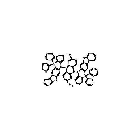 Cc1ccc2c(N3c4ccccc4[Si](c4cccnc4)(c4cccnc4)c4cc5c(cc43)sc3ccccc35)c3cc(C)ccc3c(N3c4ccccc4[Si](c4cccnc4)(c4cccnc4)c4cc5c(cc43)sc3ccccc35)c2c1